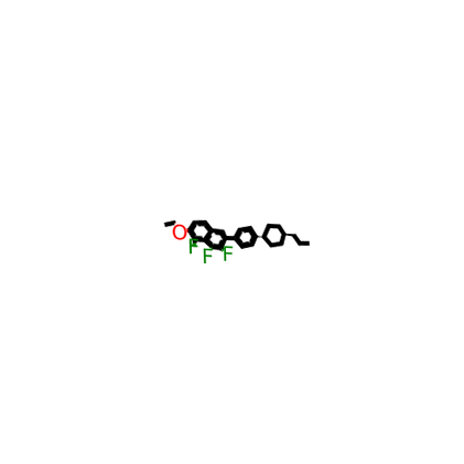 CCC[C@H]1CC[C@H](c2ccc(-c3cc4ccc(OCC)c(F)c4c(F)c3F)cc2)CC1